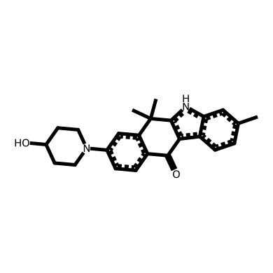 Cc1ccc2c3c([nH]c2c1)C(C)(C)c1cc(N2CCC(O)CC2)ccc1C3=O